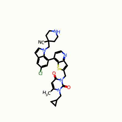 Cc1cc(=O)n(Cc2cc3nccc(-c4cc(Cl)cc5ccn(CC6(C#N)CCNCC6)c45)c3s2)c(=O)n1CC1CC1